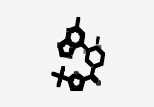 Cc1cc([C@@H]2CN(C(=O)c3ccc(C(C)(C)C)o3)CC[C@H]2C)n2ncnc2n1